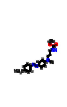 CCN(CCCNC(=O)OC(C)(C)C)c1ccc(N=Nc2ccc(C(=O)O)cc2)cc1